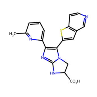 Cc1cccc(-c2nc3n(c2-c2cc4cnccc4s2)CC(C(=O)O)N3)n1